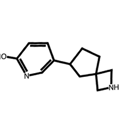 Oc1ccc(C2CCC3(CNC3)C2)cn1